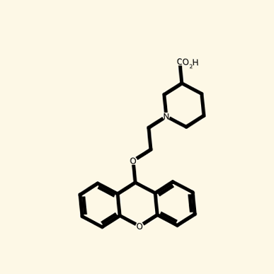 O=C(O)C1CCCN(CCOC2c3ccccc3Oc3ccccc32)C1